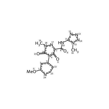 COc1cc(-n2c(=O)c(C(=O)Nc3nnnn3C)nn(C)c2=O)ccn1